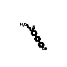 CCCCCC1(C#N)CCC(c2ccc(-c3ccc(O)cc3)cc2)CC1